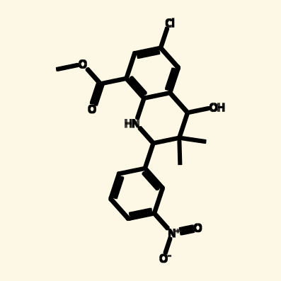 COC(=O)c1cc(Cl)cc2c1NC(c1cccc([N+](=O)[O-])c1)C(C)(C)C2O